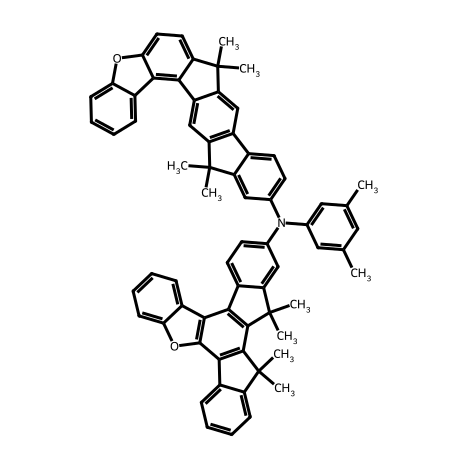 Cc1cc(C)cc(N(c2ccc3c(c2)C(C)(C)c2cc4c(cc2-3)C(C)(C)c2ccc3oc5ccccc5c3c2-4)c2ccc3c(c2)C(C)(C)c2c4c(c5oc6ccccc6c5c2-3)-c2ccccc2C4(C)C)c1